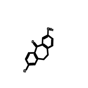 COc1ccc2c(c1)C(=O)c1ccc(Cl)cc1CC2